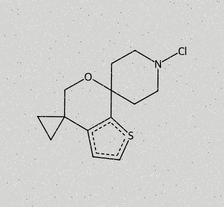 ClN1CCC2(CC1)OCC1(CC1)c1ccsc12